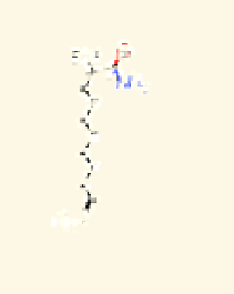 C=CCCCCCCCC(CC)C(N)=O